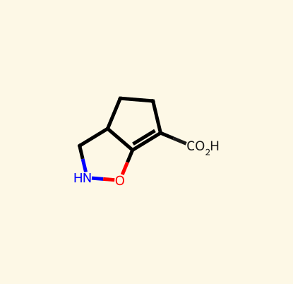 O=C(O)C1=C2ONCC2CC1